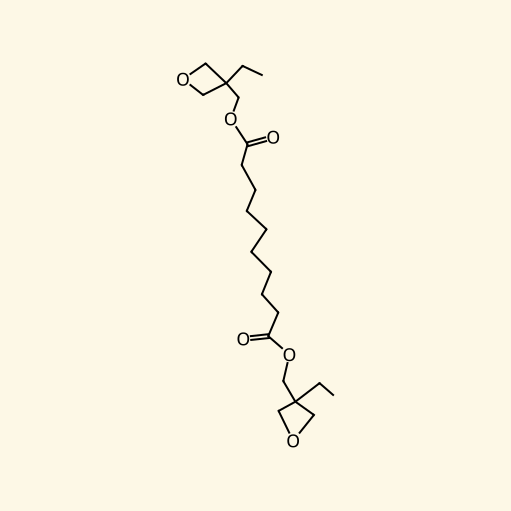 CCC1(COC(=O)CCCCCCCCC(=O)OCC2(CC)COC2)COC1